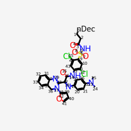 CCCCCCCCCCCCC(=O)NS(=O)(=O)c1cc(Cl)c(NC(=O)/C(=N\c2ccc(N(C)C)cc2)C2=Nc3ccccc3CN2c2ccco2)cc1Cl